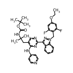 CCOc1cc(F)c(Cn2nc(-c3ncc(CC(C)(C)NC(=O)OC(C)(C)C)c(Nc4ccncc4)n3)c3ccccc32)c(F)c1